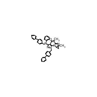 CN1C(=O)c2c(N(Cc3ccc(-c4ccccc4)cc3)c3ccccc3)nn(Cc3ccc(-c4ccccc4)cc3)c2N2C1=N[C@]1(C)CC21